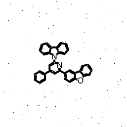 c1ccc(-c2cc(-c3ccc4oc5ccccc5c4c3)nc(-n3c4ccccc4c4ccccc43)c2)cc1